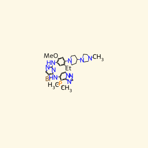 CCc1cc(Nc2ncc(Br)c(Nc3ccn4ncnc4c3P(C)C)n2)c(OC)cc1N1CCC(N2CCN(C)CC2)CC1